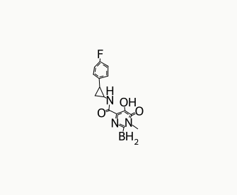 Bc1nc(C(=O)NC2CC2c2ccc(F)cc2)c(O)c(=O)n1C